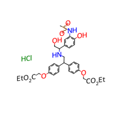 CCOC(=O)COc1ccc(C(CNC(CO)c2ccc(O)c(NS(C)(=O)=O)c2)c2ccc(OCC(=O)OCC)cc2)cc1.Cl